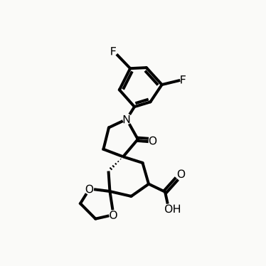 O=C(O)C1CC2(C[C@@]3(CCN(c4cc(F)cc(F)c4)C3=O)C1)OCCO2